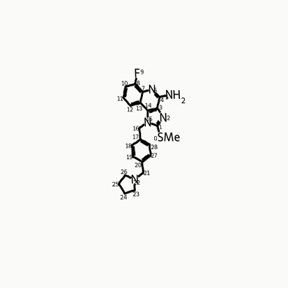 CSc1nc2c(N)nc3c(F)cccc3c2n1Cc1ccc(CN2CCCC2)cc1